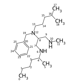 CCCCC(C)NCC(CNC)N(CCCC(C)C)Cc1ccccc1